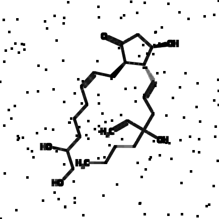 C=CC(O)(C/C=C/[C@H]1[C@H](O)CC(=O)[C@@H]1C/C=C\CCCC(O)CO)CCCC